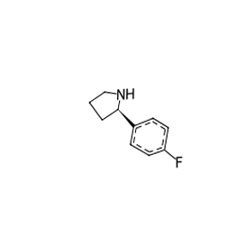 Fc1ccc([C@H]2CCCN2)cc1